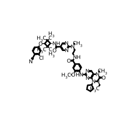 CC[C@@H]1C(=O)N(C)c2cnc(Nc3ccc(C(=O)NCCN(C)c4ncc(C(=O)N[C@H]5C(C)(C)[C@H](Oc6ccc(C#N)c(Cl)c6)C5(C)C)cn4)cc3OC)nc2N1C1CCCC1